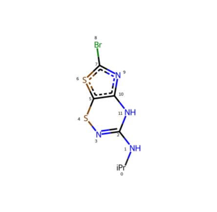 CC(C)NC1=NSc2sc(Br)nc2N1